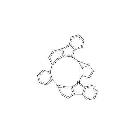 C1=CC2N3C1C3n1c3ccccc3c3ccc(cc31)-c1ccccc1-c1ccc3c4ccccc4n2c3c1